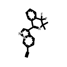 C#Cc1ccc2c(C3=NC(C)(C)C(F)(F)c4ccccc43)cnn2c1